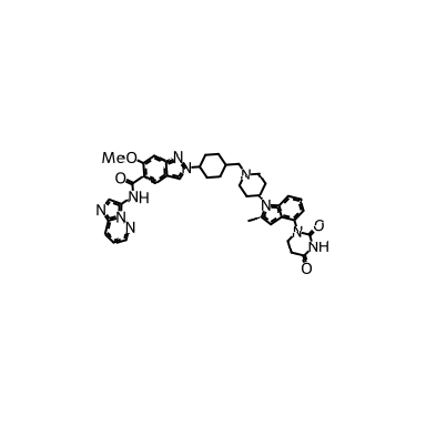 COc1cc2nn(C3CCC(CN4CCC(n5c(C)cc6c(N7CCC(=O)NC7=O)cccc65)CC4)CC3)cc2cc1C(=O)Nc1cnc2cccnn12